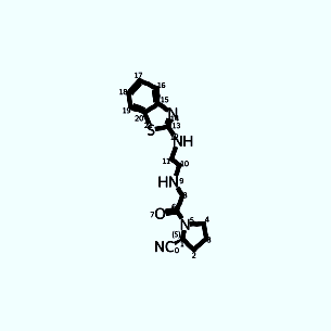 N#C[C@@H]1CCCN1C(=O)CNCCNc1nc2ccccc2s1